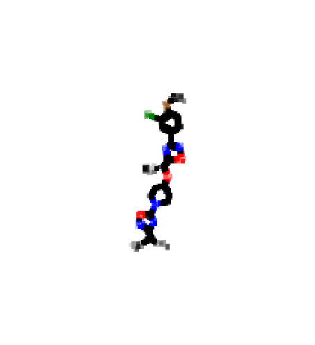 CSc1ccc(-c2noc([C@@H](C)OC3CCN(c4nc(C(C)C)no4)CC3)n2)cc1F